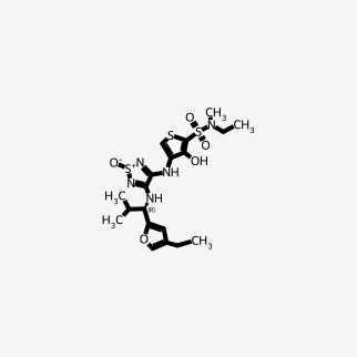 CCc1coc([C@H](Nc2n[s+]([O-])nc2Nc2csc(S(=O)(=O)N(C)CC)c2O)C(C)C)c1